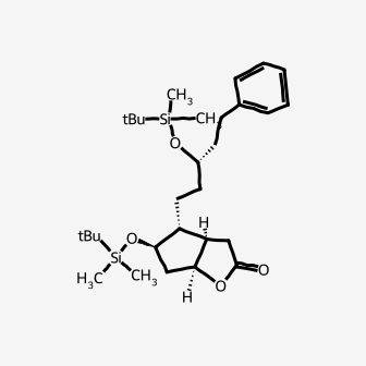 CC(C)(C)[Si](C)(C)O[C@H](CCc1ccccc1)CC[C@@H]1[C@H]2CC(=O)O[C@H]2C[C@H]1O[Si](C)(C)C(C)(C)C